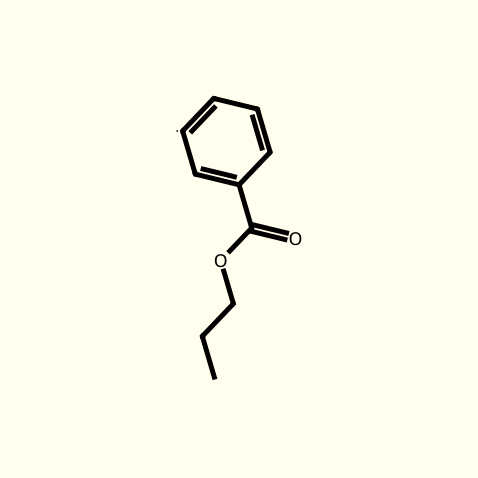 CCCOC(=O)c1c[c]ccc1